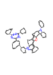 c1ccc(-c2nc(-c3ccccc3)nc(-c3cccc(-c4cccc(-n5c6ccccc6c6c7oc8c(ccc9c8c8ccccc8n9-c8ccccc8)c7ccc65)c4)c3)n2)cc1